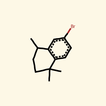 CC1CCC(C)(C)c2ccc(Br)cc21